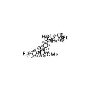 CCS(=O)(=O)c1ccc([C@H](CO)NC(=O)c2ccc(N3C(=O)N(c4ccc(C(F)(F)F)cc4)CC[C@H]3COC)cc2)cc1